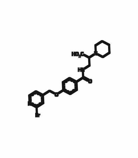 O=C(NCC(C(=O)O)N1CCCCC1)c1ccc(OCc2ccnc(Br)c2)cc1